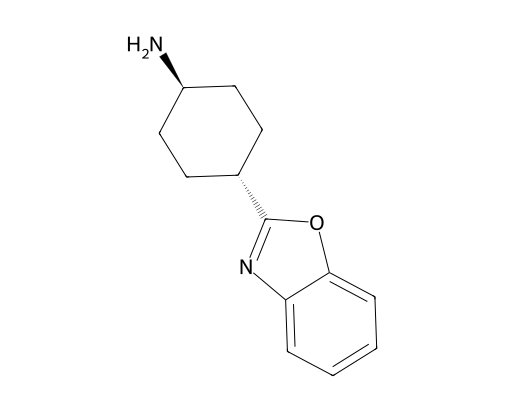 N[C@H]1CC[C@H](c2nc3ccccc3o2)CC1